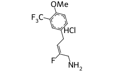 COc1ccc(C/C=C(/F)CN)cc1C(F)(F)F.Cl